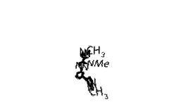 CNc1nc(-c2cccc(-c3cnn(C)c3)c2)ncc1-c1cnn(C)c1